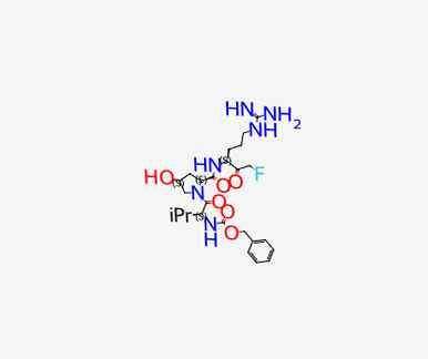 CC(C)[C@H](NC(=O)OCc1ccccc1)C(=O)N1C[C@@H](O)C[C@H]1C(=O)N[C@@H](CCCNC(=N)N)C(=O)CF